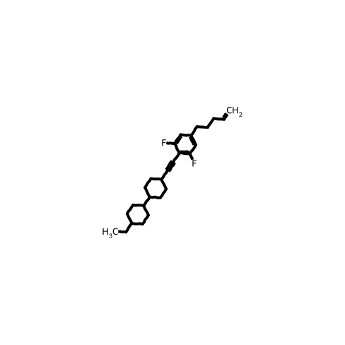 C=CCCCc1cc(F)c(C#CC2CCC(C3CCC(CC)CC3)CC2)c(F)c1